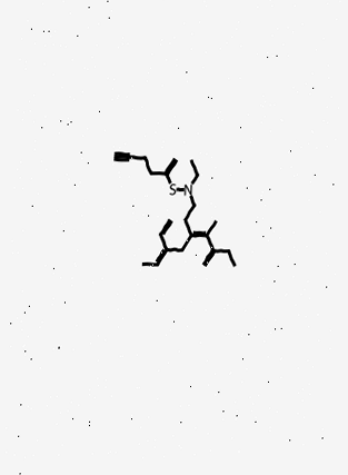 C#CCCC(=C)SN(CC)CC/C(C/C(C=C)=C/C)=C(\C)C(=C)CC